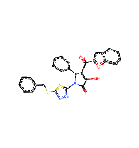 O=C(C1=C(O)C(=O)N(c2nnc(SCc3ccccc3)s2)C1c1ccccc1)c1cc2ccccc2o1